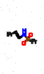 CC(C)/C=C/NS(=O)(=O)C(C)C